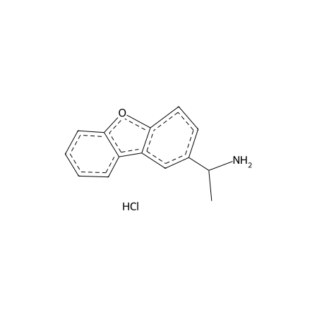 CC(N)c1ccc2oc3ccccc3c2c1.Cl